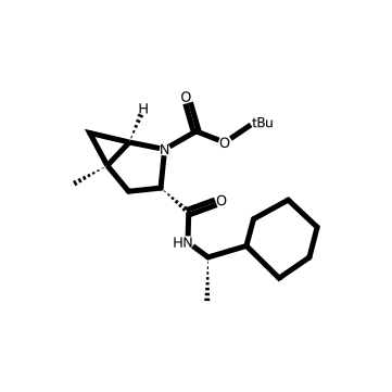 C[C@H](NC(=O)[C@@H]1C[C@@]2(C)C[C@H]2N1C(=O)OC(C)(C)C)C1CCCCC1